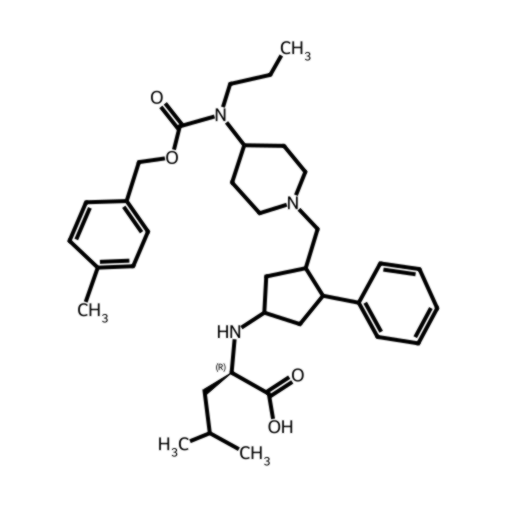 CCCN(C(=O)OCc1ccc(C)cc1)C1CCN(CC2CC(N[C@H](CC(C)C)C(=O)O)CC2c2ccccc2)CC1